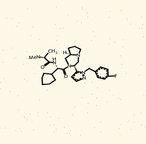 CN[C@@H](C)C(=O)N[C@H](C(=O)N1C[C@H]2CCCN2C[C@H]1c1ccnn1Cc1ccc(F)cc1)C1CCCCC1